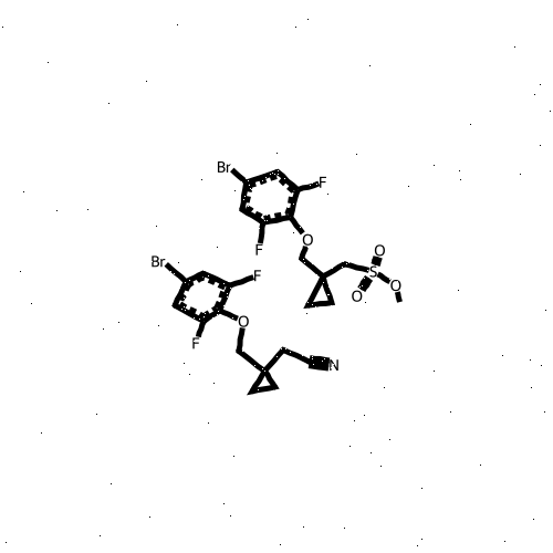 COS(=O)(=O)CC1(COc2c(F)cc(Br)cc2F)CC1.N#CCC1(COc2c(F)cc(Br)cc2F)CC1